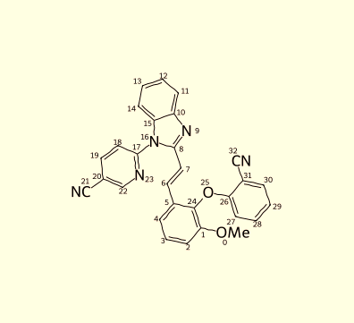 COc1cccc(/C=C/c2nc3ccccc3n2-c2ccc(C#N)cn2)c1Oc1ccccc1C#N